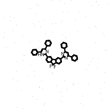 FC1(F)c2ccc(-c3nc(-c4ccccc4)cc(-c4ccccc4)n3)cc2-c2cc(C3N=C(c4ccccc4)C=C(c4ccccc4)N3)ccc21